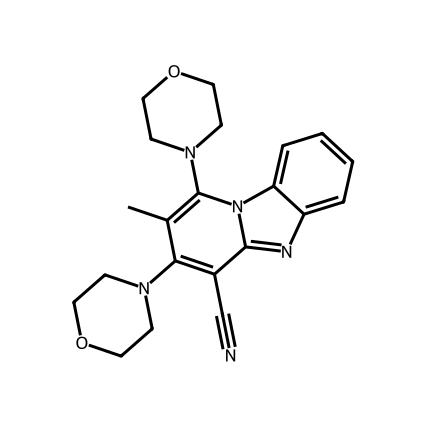 Cc1c(N2CCOCC2)c(C#N)c2nc3ccccc3n2c1N1CCOCC1